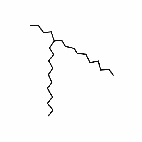 [CH2]CCCC(CCCCCCCCCC)CCCCCCCCCCC